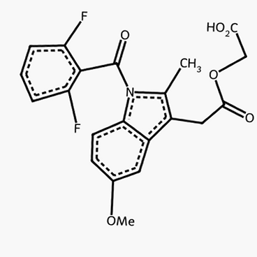 COc1ccc2c(c1)c(CC(=O)OCC(=O)O)c(C)n2C(=O)c1c(F)cccc1F